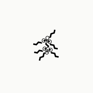 CCCCO[Si](CC[Si](OCCCC)(OCCCC)OCCCC)(OCCCC)OCCCC